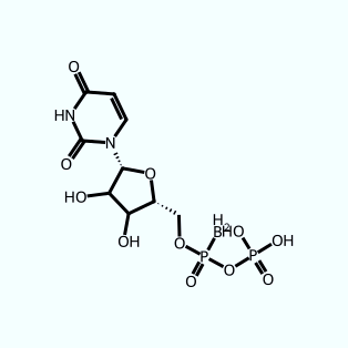 BP(=O)(OC[C@H]1O[C@@H](n2ccc(=O)[nH]c2=O)C(O)C1O)OP(=O)(O)O